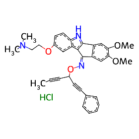 CC#CC(C#Cc1ccccc1)ON=C1c2cc(OC)c(OC)cc2-c2[nH]c3ccc(OCCN(C)C)cc3c21.Cl